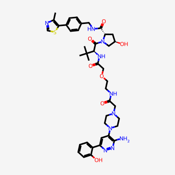 Cc1ncsc1-c1ccc(CNC(=O)[C@@H]2C[C@@H](O)CN2C(=O)[C@@H](NC(=O)COCCNC(=O)CN2CCN(c3cc(-c4ccccc4O)nnc3N)CC2)C(C)(C)C)cc1